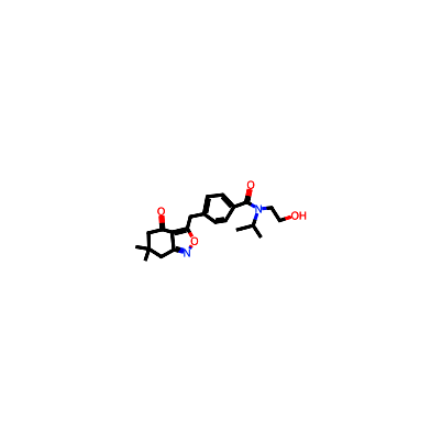 CC(C)N(CCO)C(=O)c1ccc(Cc2onc3c2C(=O)CC(C)(C)C3)cc1